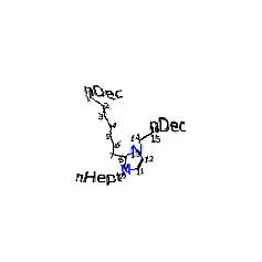 CCCCCCCCCCCCCCCCCC1N(CCCCCCC)C=CN1CCCCCCCCCCCC